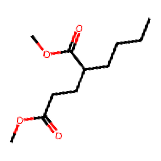 CCCCC(CCC(=O)OC)C(=O)OC